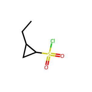 CCC1CC1S(=O)(=O)Cl